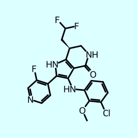 COc1c(Cl)cccc1Nc1c(-c2ccncc2F)[nH]c2c1C(=O)NC[C@@H]2CC(F)F